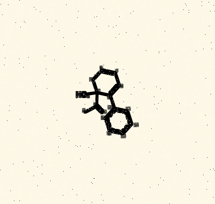 C=C(C)C1(O)CC=CC=C1c1ccccc1